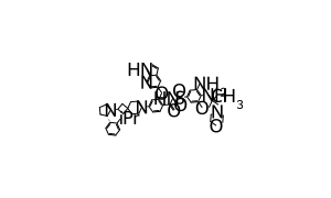 CC(C)c1ccccc1[C@@H]1CCCN1C1CC2(CCN(c3ccc(C(=O)NS(=O)(=O)c4cc(N)c5c(c4)OCC(C)(CN4CCOCC4)N5)c(Oc4cnc5[nH]ccc5c4)c3)CC2)C1